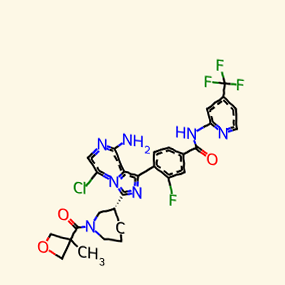 CC1(C(=O)N2CCC[C@@H](c3nc(-c4ccc(C(=O)Nc5cc(C(F)(F)F)ccn5)cc4F)c4c(N)ncc(Cl)n34)C2)COC1